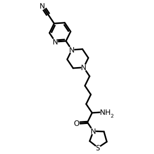 N#Cc1ccc(N2CCN(CCCCC(N)C(=O)N3CCSC3)CC2)nc1